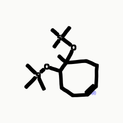 CC1(O[Si](C)(C)C)CC/C=C\CCC1O[Si](C)(C)C